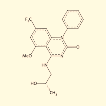 COc1cc(C(F)(F)F)cc2c1c(NC[C@H](C)O)nc(=O)n2-c1ccccc1